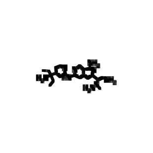 CCC(N)(CC)c1ccnc(Nc2cc3cc(/C(=C/N)N(C)N)nc(N)c3cn2)c1